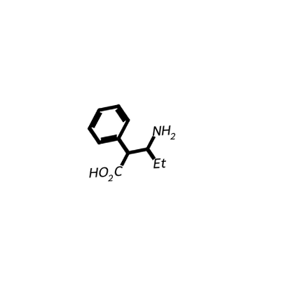 CCC(N)C(C(=O)O)c1ccccc1